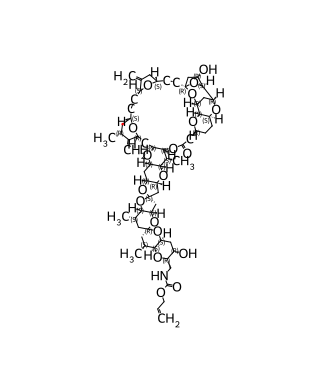 C=CCOC(=O)NC[C@H]1O[C@@H]2[C@H](C[C@H]1O)O[C@@]1(C[C@@H]2C)C[C@H](C)[C@@H]2O[C@]3(C[C@@H]2O1)C[C@H]1O[C@H]2[C@H](C)[C@H]4OC(=O)C[C@H]5CC[C@@H]6O[C@@H]7C[C@@H](O[C@@]8(CC[C@H]9CC(=C)[C@H](CC[C@H]%10C[C@@H](C)C(=C)[C@@H](C[C@@H]4O[C@H]2C[C@H]1O3)O%10)O9)C[C@@H](O)[C@@H]7O8)[C@H]6O5